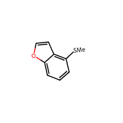 CSc1cccc2occc12